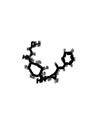 C/C(=C\c1ccccc1)C1CC1NC1CCC(NCCO)CC1